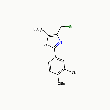 CCOC(=O)c1[se]c(-c2ccc(OCC(C)C)c(C#N)c2)nc1CBr